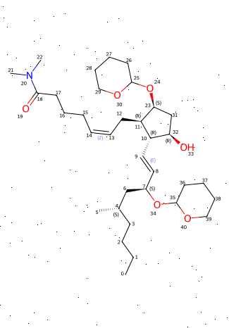 CCCC[C@H](C)C[C@@H](/C=C/[C@@H]1[C@@H](C/C=C\CCCC(=O)N(C)C)[C@@H](OC2CCCCO2)C[C@H]1O)OC1CCCCO1